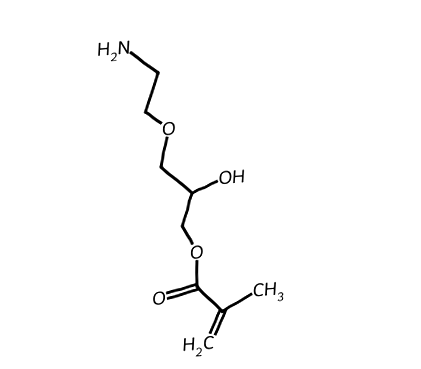 C=C(C)C(=O)OCC(O)COCCN